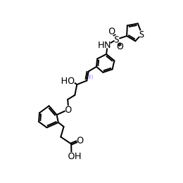 O=C(O)CCc1ccccc1OCCC(O)/C=C/c1cccc(NS(=O)(=O)c2ccsc2)c1